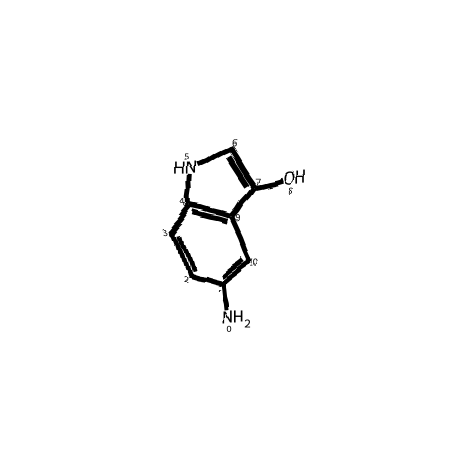 Nc1ccc2[nH]cc(O)c2c1